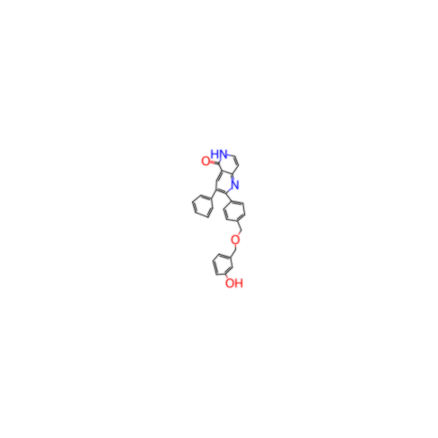 O=c1[nH]ccc2nc(-c3ccc(COCc4cccc(O)c4)cc3)c(-c3ccccc3)cc12